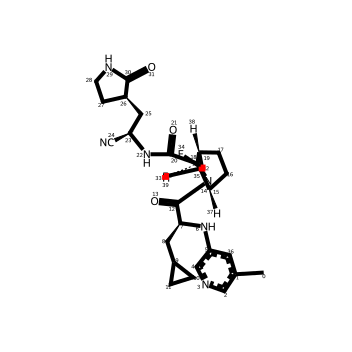 Cc1cncc(N[C@@H](CC2CC2)C(=O)N2[C@H]3CC[C@@H]([C@@H]2C(=O)N[C@@H](C#N)C[C@H]2CCNC2=O)C(F)(F)C3)c1